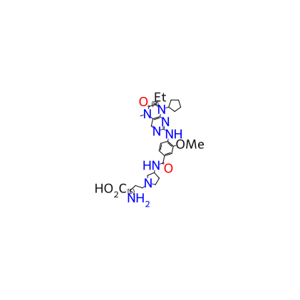 CC[C@@H]1C(=O)N(C)c2cnc(Nc3ccc(C(=O)NC4CCN(CC[C@H](N)C(=O)O)C4)cc3OC)nc2N1C1CCCC1